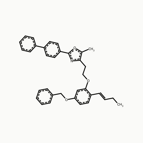 CCC=Cc1ccc(OCc2ccccc2)cc1OCCc1nc(-c2ccc(-c3ccccc3)cc2)oc1C